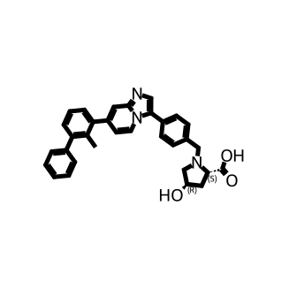 Cc1c(-c2ccccc2)cccc1-c1ccn2c(-c3ccc(CN4C[C@H](O)C[C@H]4C(=O)O)cc3)cnc2c1